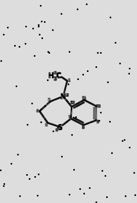 CCN1CCCSc2ccccc21